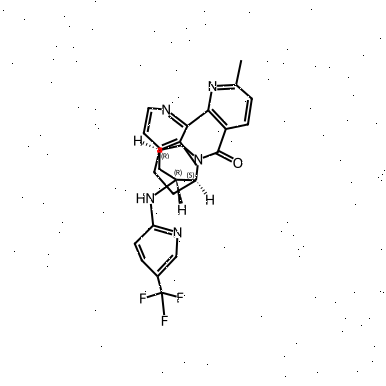 Cc1ccc(C(=O)N2C[C@@H]3CC[C@H]2[C@H](Nc2ccc(C(F)(F)F)cn2)C3)c(-c2ncccc2C)n1